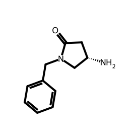 N[C@H]1CC(=O)N(Cc2ccccc2)C1